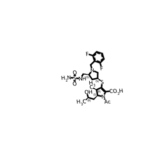 CC(=O)N1C(C(=O)O)=C(S[C@H]2C[C@@H](CNS(N)(=O)=O)N(Cc3c(F)cccc3F)C2)[C@H](C)[C@@H]1C[C@@H](C)O